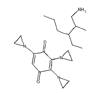 CCCC(CC)C(C)[CH2][AlH2].O=C1C=C(N2CC2)C(=O)C(N2CC2)=C1N1CC1